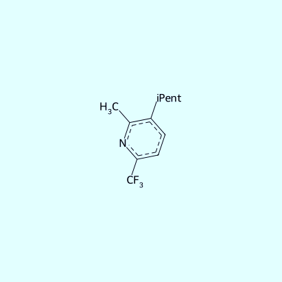 CCCC(C)c1ccc(C(F)(F)F)nc1C